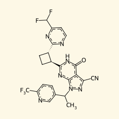 CC(c1ccc(C(F)(F)F)nc1)n1nc(C#N)c2c(=O)[nH]c([C@H]3CC[C@@H]3c3nccc(C(F)F)n3)nc21